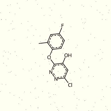 Cc1cc(F)ccc1Oc1nnc(Cl)cc1O